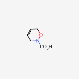 O=C(O)N1CC=CCO1